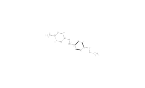 CCOc1ccc(NCC2CCC(N)CC2)cc1